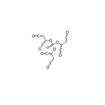 O=C=CC(=C=O)OP(=O)(OC(=C=O)C=C=O)OC(=C=O)C=C=O